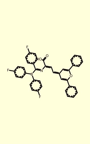 O=C(O)C(=CC=C1C=C(c2ccccc2)OC(c2ccccc2)=C1)N=C(B(c1ccc(F)cc1)c1ccc(F)cc1)c1ccc(F)cc1